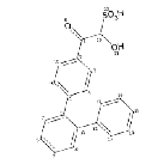 O=C(c1ccc(-c2ccccc2-c2ccccc2)cc1)C(O)S(=O)(=O)O